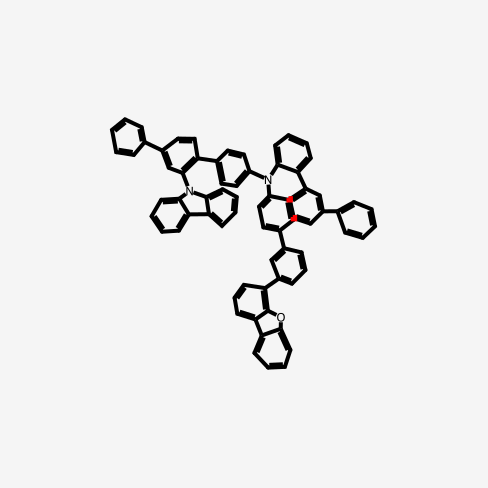 c1ccc(-c2cccc(-c3ccccc3N(c3ccc(-c4cccc(-c5cccc6c5oc5ccccc56)c4)cc3)c3ccc(-c4ccc(-c5ccccc5)cc4-n4c5ccccc5c5ccccc54)cc3)c2)cc1